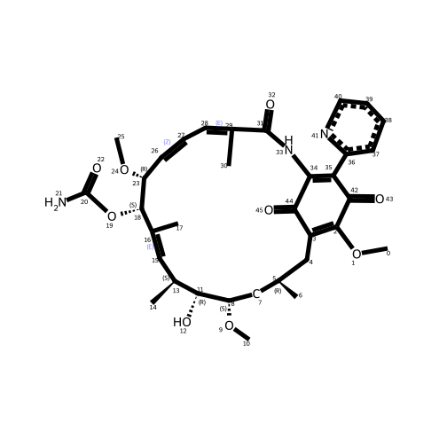 COC1=C2C[C@@H](C)C[C@H](OC)[C@H](O)[C@@H](C)/C=C(\C)[C@H](OC(N)=O)[C@H](OC)/C=C\C=C(/C)C(=O)NC(=C(c3ccccn3)C1=O)C2=O